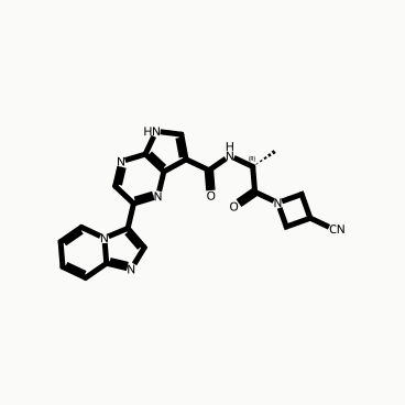 C[C@@H](NC(=O)c1c[nH]c2ncc(-c3cnc4ccccn34)nc12)C(=O)N1CC(C#N)C1